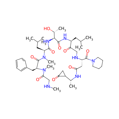 CNCC(=O)N(C)[C@@H](Cc1ccccc1)C(=O)N(C)[C@@H](CC(C)C)C(=O)N[C@H](C(=O)N[C@@H](CC(C)C)C(=O)CN[C@@H](CC(=O)N[C@H](C)C1CC1=O)C(=O)N1CCCCC1)[C@@H](C)O